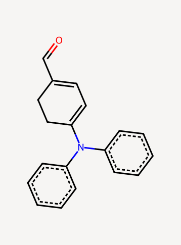 O=CC1=CC=C(N(c2ccccc2)c2ccccc2)CC1